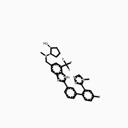 CN(Cc1cc(C(F)(F)F)c2[nH]c(-c3cccc(-c4ccc(F)cc4-c4nncn4C)c3)nc2c1)[C@@H]1CCC[C@@H]1O